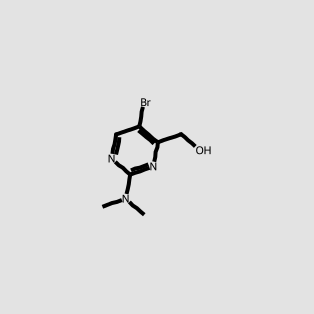 CN(C)c1ncc(Br)c(CO)n1